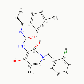 CC(=O)C[C@H](NC(=O)Nc1c(O)c(C)cn(Cc2ccccc2Cl)c1=O)c1ccc(C)cc1